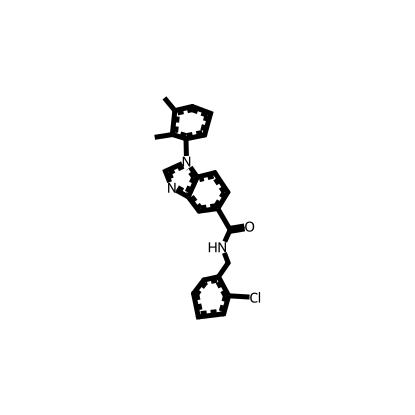 Cc1cccc(-n2cnc3cc(C(=O)NCc4ccccc4Cl)ccc32)c1C